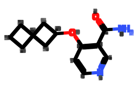 NC(=O)c1cnccc1OC1CC2(CCC2)C1